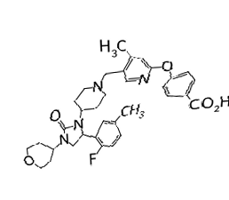 Cc1ccc(F)c(C2CN(C3CCOCC3)C(=O)N2C2CCN(Cc3cnc(Oc4ccc(C(=O)O)cc4)cc3C)CC2)c1